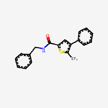 O=C(NCc1ccccc1)c1cc(-c2ccccc2)c(C(F)(F)F)s1